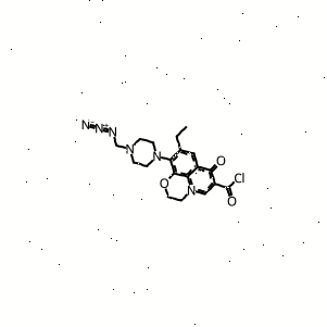 CCc1cc2c(=O)c(C(=O)Cl)cn3c2c(c1N1CCN(CN=[N+]=[N-])CC1)OCC3